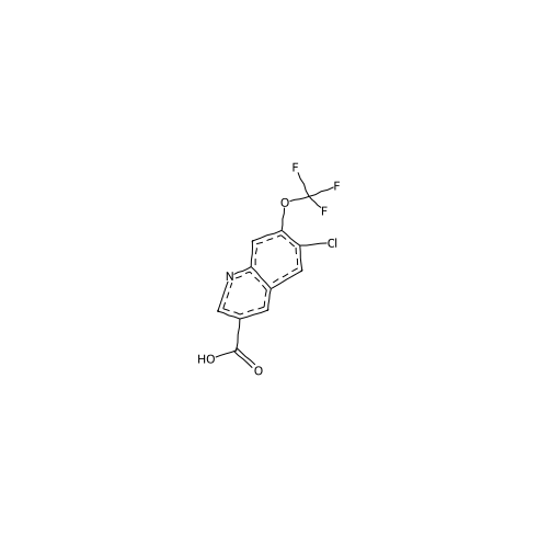 O=C(O)c1cnc2cc(OC(F)(F)F)c(Cl)cc2c1